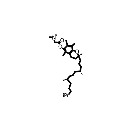 Cc1c(C)c2c(c(C)c1OC(=O)CN(C)C)CC[C@@](C)(CCC[C@H](C)CCC[C@H](C)CCCC(C)C)O2